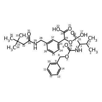 CC(C)C(NC(=O)OCc1ccccc1)P(=O)(O)OC(C(=O)O)c1cccc(CNC(=O)CC(C)(C)C)c1